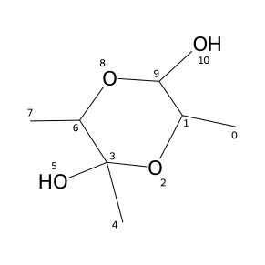 CC1OC(C)(O)C(C)OC1O